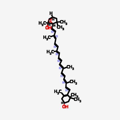 CC1=C(/C=C/C(C)=C/C=C/C(C)=C/C=C/C=C(C)/C=C/C=C(C)/C=C/[C@@]23O[C@@H](CC2(C)C)C[C@@]3(C)O)C(C)(C)C[C@H](O)C1